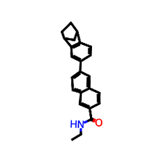 CCNC(=O)c1ccc2cc(-c3ccc4c(c3)C3CCC4C3)ccc2c1